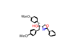 COc1ccc(CC(O)(Cc2ccc(OC)cc2)[C@@H]2COC(c3ccccc3)=N2)cc1